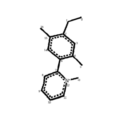 CCc1cc(C)c(-c2cccc[n+]2C)cc1C